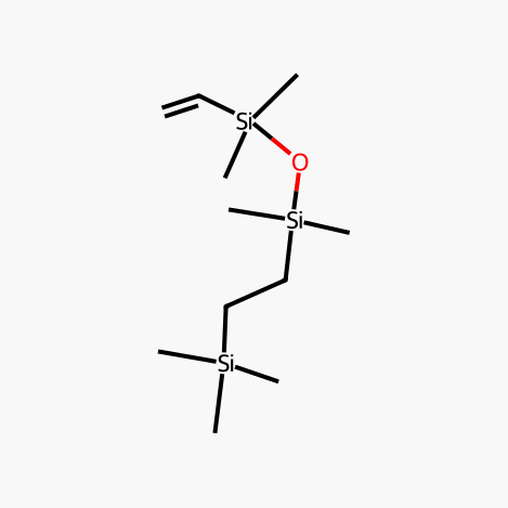 C=C[Si](C)(C)O[Si](C)(C)CC[Si](C)(C)C